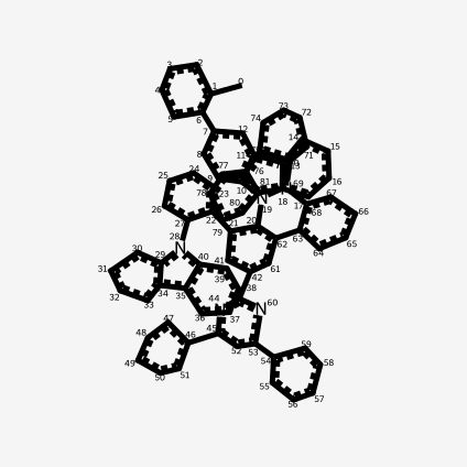 Cc1ccccc1-c1ccc2c(c1)c1ccccc1n2-c1c(-c2ccccc2-n2c3ccccc3c3ccccc32)cc(-c2nc(-c3ccccc3)cc(-c3ccccc3)n2)cc1-c1ccccc1-n1c2ccccc2c2ccccc21